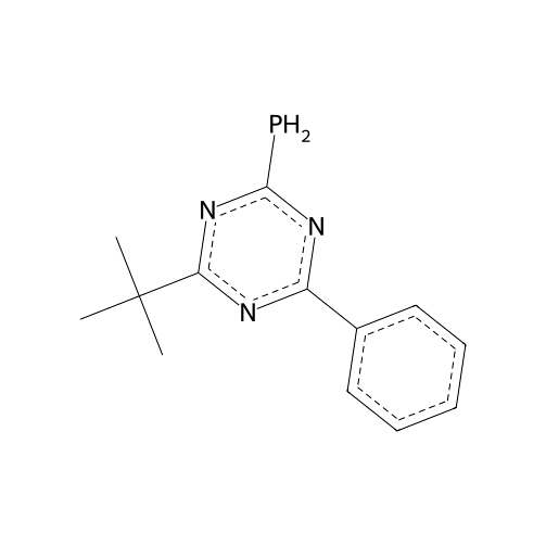 CC(C)(C)c1nc(P)nc(-c2ccccc2)n1